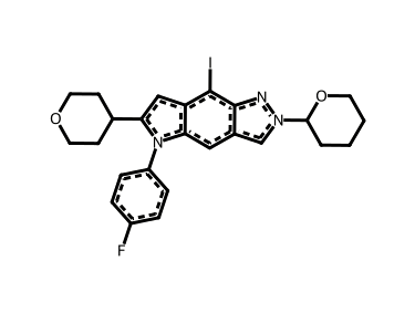 Fc1ccc(-n2c(C3CCOCC3)cc3c(I)c4nn(C5CCCCO5)cc4cc32)cc1